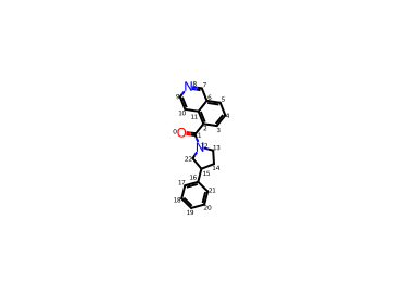 O=C(c1cccc2cnccc12)N1CCC(c2ccccc2)C1